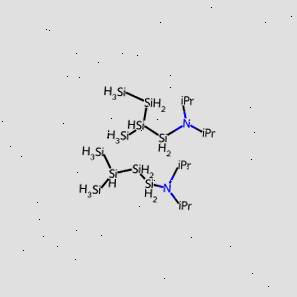 CC(C)N([SiH2][SiH2][SiH]([SiH3])[SiH3])C(C)C.CC(C)N([SiH2][SiH]([SiH3])[SiH2][SiH3])C(C)C